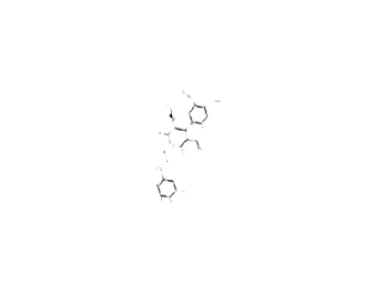 COc1ccc(C2=C(C#N)C(C)N(CCCc3ccccc3)C(C)=C2C=O)cc1OC